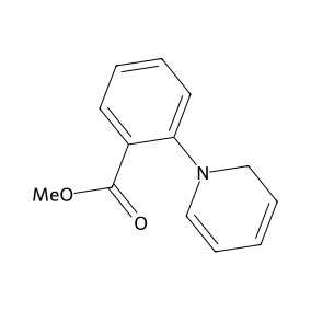 COC(=O)c1ccccc1N1C=CC=CC1